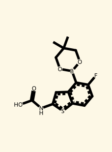 CC1(C)COB(c2c(F)ccc3sc(NC(=O)O)cc23)OC1